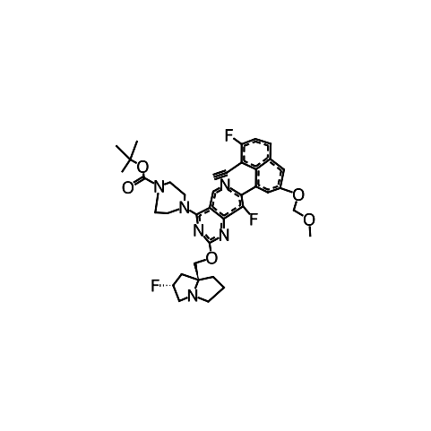 C#Cc1c(F)ccc2cc(OCOC)cc(-c3ncc4c(N5CCN(C(=O)OC(C)(C)C)CC5)nc(OC[C@@]56CCCN5C[C@H](F)C6)nc4c3F)c12